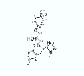 Cc1ccc2c(c1)CC(c1nccn1C)N(CC(O)COc1ccc(C(F)(F)F)cc1)C2